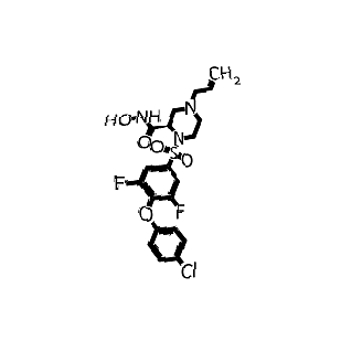 C=CCN1CCN(S(=O)(=O)c2cc(F)c(Oc3ccc(Cl)cc3)c(F)c2)[C@@H](C(=O)NO)C1